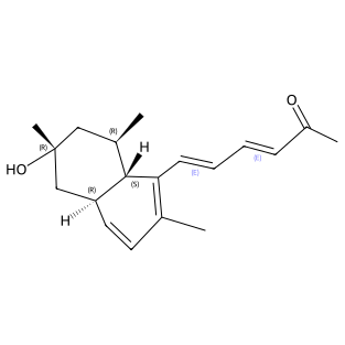 CC(=O)/C=C/C=C/C1=C(C)C=C[C@H]2C[C@](C)(O)C[C@@H](C)[C@H]12